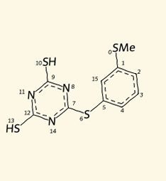 CSc1cccc(Sc2nc(S)nc(S)n2)c1